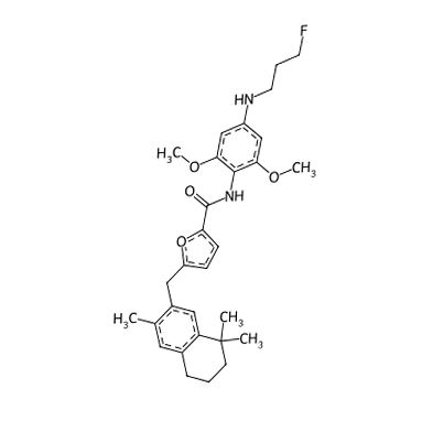 COc1cc(NCCCF)cc(OC)c1NC(=O)c1ccc(Cc2cc3c(cc2C)CCCC3(C)C)o1